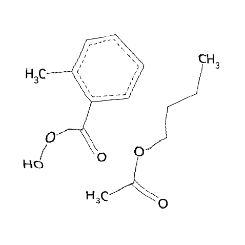 CCCCOC(C)=O.Cc1ccccc1C(=O)OO